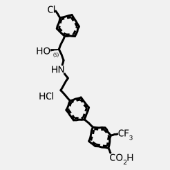 Cl.O=C(O)c1ccc(-c2ccc(CCNC[C@@H](O)c3cccc(Cl)c3)cc2)cc1C(F)(F)F